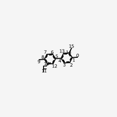 Cc1ccc(-c2ccc(C)c(F)c2)cc1C